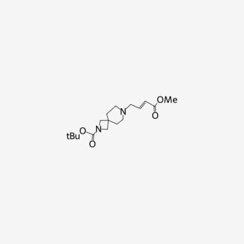 COC(=O)/C=C/CN1CCC2(CC1)CN(C(=O)OC(C)(C)C)C2